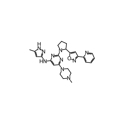 Cc1cc(Nc2cc(N3CCN(C)CC3)nc(N3CCCC3c3cc(-c4ccccn4)no3)n2)n[nH]1